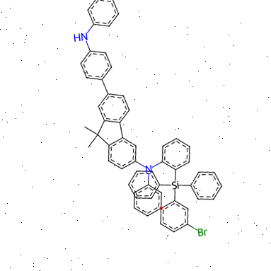 CC1(C)c2ccc(N(c3ccccc3)c3ccccc3[Si](c3ccccc3)(c3ccccc3)c3cccc(Br)c3)cc2-c2ccc(-c3ccc(Nc4ccccc4)cc3)cc21